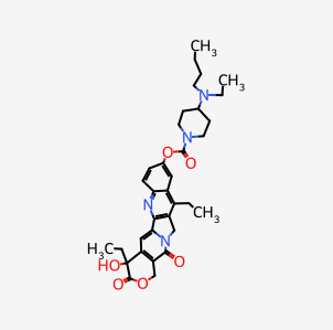 CCCCN(CC)C1CCN(C(=O)Oc2ccc3nc4c(c(CC)c3c2)Cn2c-4cc3c(c2=O)COC(=O)C3(O)CC)CC1